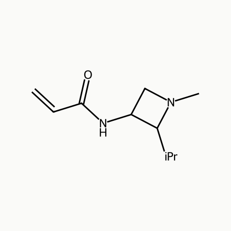 C=CC(=O)NC1CN(C)C1C(C)C